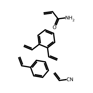 C=CC#N.C=CC(N)=O.C=Cc1ccccc1.C=Cc1ccccc1C=C